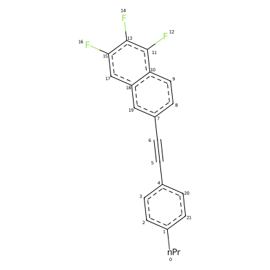 CCCc1ccc(C#Cc2ccc3c(F)c(F)c(F)cc3c2)cc1